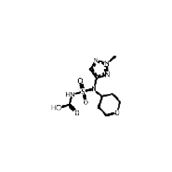 Cn1ncc(N(C2CCOCC2)S(=O)(=O)NC(=O)O)n1